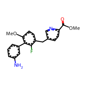 COC(=O)c1ccc(Cc2ccc(OC)c(-c3cccc(N)c3)c2F)cn1